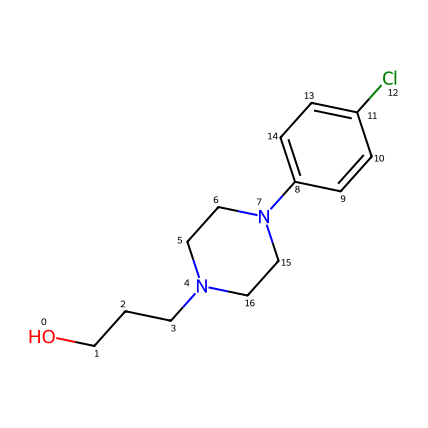 OCCCN1CCN(c2ccc(Cl)cc2)CC1